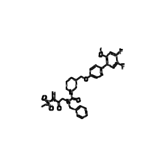 COc1cc(F)c(F)cc1-c1ccc(OCC2CCCN(C(=O)N(CC(=O)NS(C)(=O)=O)Cc3ccccc3)C2)cc1